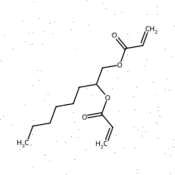 C=CC(=O)OCC(CCCCCC)OC(=O)C=C